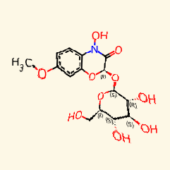 COc1ccc2c(c1)O[C@H](O[C@@H]1O[C@H](CO)[C@@H](O)[C@H](O)[C@H]1O)C(=O)N2O